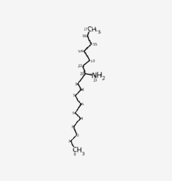 CCCCCCCCCCC(N)CCCCCC